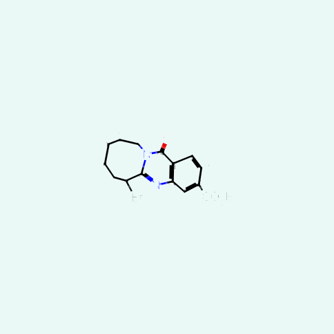 CCC1CCCCCn2c1nc1cc(C(=O)O)ccc1c2=O